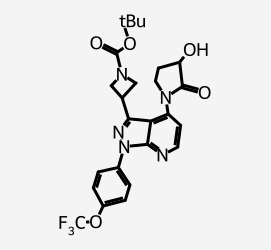 CC(C)(C)OC(=O)N1CC(c2nn(-c3ccc(OC(F)(F)F)cc3)c3nccc(N4CCC(O)C4=O)c23)C1